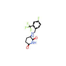 O=C1CCC(NCc2ccc(F)cc2C(F)(F)F)C(=O)N1